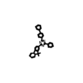 CC1(C)c2cc(-c3nc(-c4ccccc4)nc(-c4ccc(-c5ccccc5)cc4)n3)ccc2C2C=CC=CC21